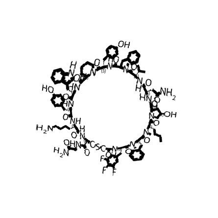 CCCC[C@H]1C(=O)N2C[C@H](O)C[C@@H]2C(=O)N[C@@H](CC(N)=O)C(=O)N[C@@H](C(C)C)C(=O)N(C)C(Cc2ccccc2)C(=O)N[C@@H](Cc2ccc(O)cc2)C(=O)N2CCCC[C@@H]2C(=O)N[C@@H](Cc2c[nH]c3ccccc23)C(=O)N[C@@H](Cc2ccc(O)cc2)C(=O)N[C@@H](CCCCN)C(=O)N[C@H](C(=O)NCC(N)=O)CSCC(=O)N[C@@H](Cc2cc(F)c(F)c(F)c2)C(=O)N(C)[C@@H](Cc2ccccc2)C(=O)N1C